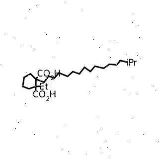 CCC1(C(=O)O)CCCCC1(CCCCCCCCCCCCCCC(C)C)C(=O)O